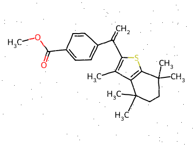 C=C(c1ccc(C(=O)OC)cc1)c1sc2c(c1C)C(C)(C)CCC2(C)C